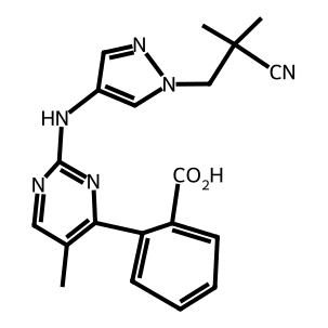 Cc1cnc(Nc2cnn(CC(C)(C)C#N)c2)nc1-c1ccccc1C(=O)O